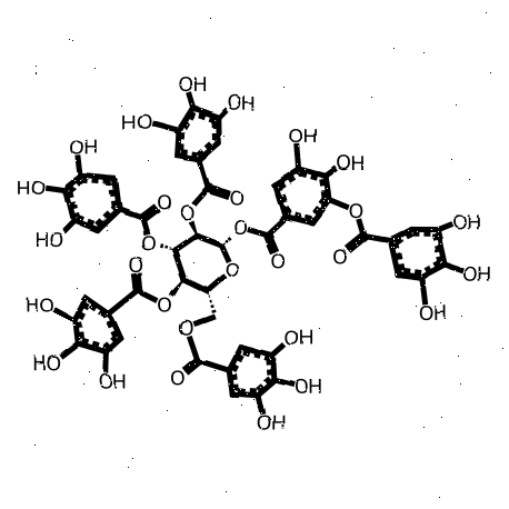 O=C(OC[C@H]1O[C@@H](OC(=O)c2cc(O)c(O)c(OC(=O)c3cc(O)c(O)c(O)c3)c2)[C@H](OC(=O)c2cc(O)c(O)c(O)c2)[C@@H](OC(=O)c2cc(O)c(O)c(O)c2)[C@@H]1OC(=O)c1cc(O)c(O)c(O)c1)c1cc(O)c(O)c(O)c1